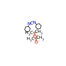 C(=NC1CCCCC1)=NC1CCCCC1.C[S+](C)[O-].C[S+](C)[O-]